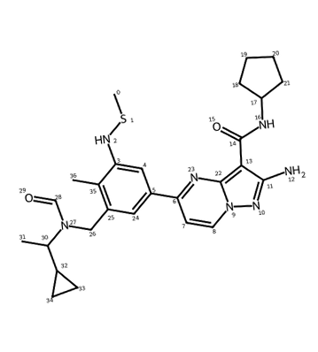 CSNc1cc(-c2ccn3nc(N)c(C(=O)NC4CCCC4)c3n2)cc(CN(C=O)C(C)C2CC2)c1C